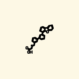 O=C(O)CSCc1cccc(-c2cccc(-c3cccc4c3oc3ccccc34)c2)c1